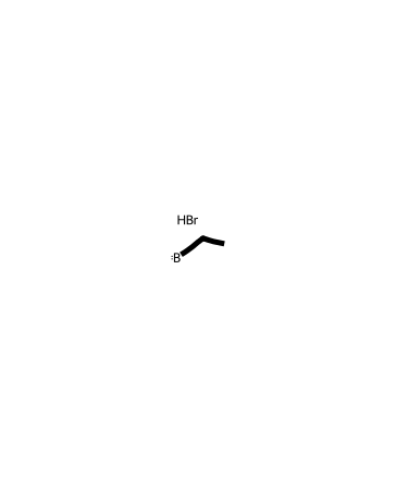 Br.[B]CC